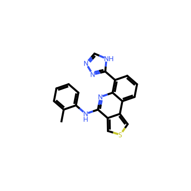 Cc1ccccc1Nc1nc2c(-c3nnc[nH]3)cccc2c2cscc12